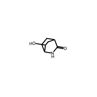 O=C1NC2CCC1CC2O